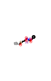 C[C@H](N[PH](=O)OCCCCSC(=O)C(C)(C)C)C(=O)OCc1ccccc1